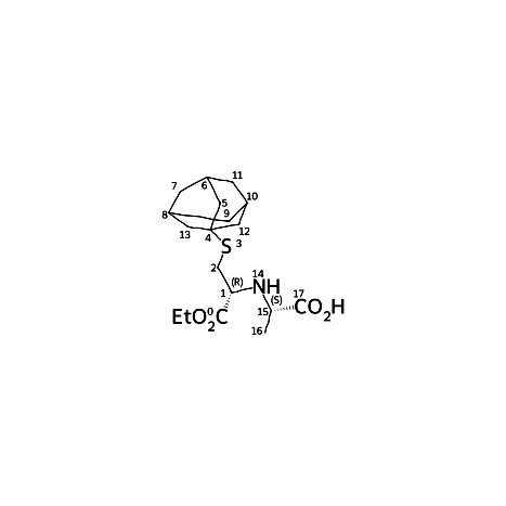 CCOC(=O)[C@H](CSC12CC3CC(CC(C3)C1)C2)N[C@@H](C)C(=O)O